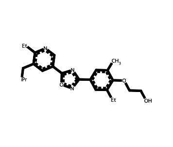 CCc1cc(-c2noc(-c3cnc(CC)c(CC(C)C)c3)n2)cc(C)c1OCCO